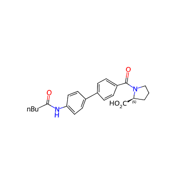 CCCCC(=O)Nc1ccc(-c2ccc(C(=O)N3CCC[C@H]3C(=O)O)cc2)cc1